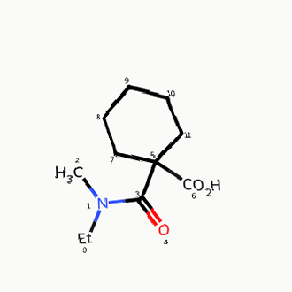 CCN(C)C(=O)C1(C(=O)O)CCCCC1